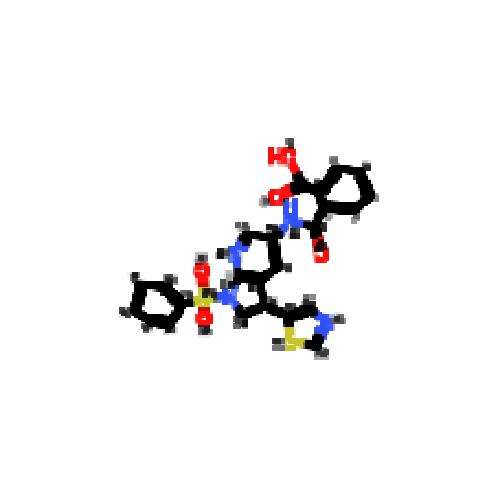 O=C(O)c1ccccc1C(=O)Nc1cnc2c(c1)C(c1cncs1)CN2S(=O)(=O)c1ccccc1